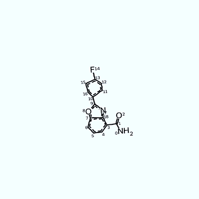 NC(=O)c1cccc2oc(-c3ccc(F)cc3)nc12